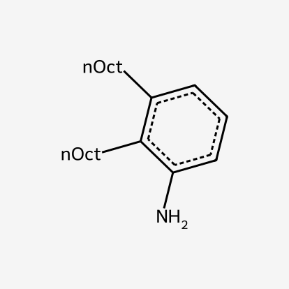 CCCCCCCCc1cccc(N)c1CCCCCCCC